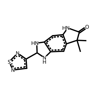 CC1(C)C(=O)Nc2cc3c(cc21)NC(c1cnsn1)N3